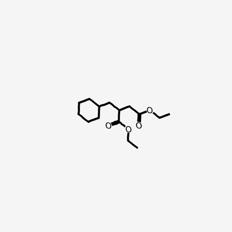 CCOC(=O)CC(CC1CCCCC1)C(=O)OCC